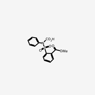 COC(=O)c1ccccc1S(=O)(=O)N(C(=O)O)c1ccccc1